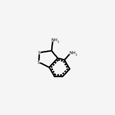 Nc1cccc2c1C(N)SS2